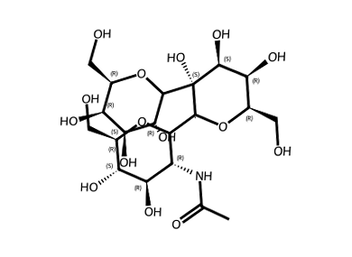 CC(=O)N[C@H]1C([C]2O[C@H](CO)[C@H](O)[C@H](O)[C@]2(O)C2O[C@H](CO)[C@H](O)[C@H](O)[C@H]2O)O[C@H](CO)[C@@H](O)[C@@H]1O